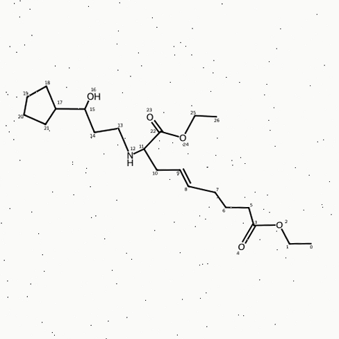 CCOC(=O)CCC/C=C/CC(NCCC(O)C1CCCC1)C(=O)OCC